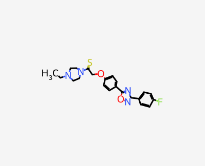 CCN1CCN(C(=S)COc2ccc(-c3nc(-c4ccc(F)cc4)no3)cc2)CC1